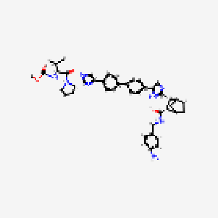 COC(=O)N[C@H](C(=O)N1CCC[C@H]1c1ncc(-c2ccc(-c3ccc(-c4cnc([C@@H]5C6CCC(C6)[C@H]5C(=O)NCc5ccc(N)cc5)[nH]4)cc3)cc2)[nH]1)C(C)C